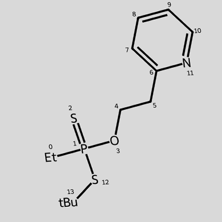 CCP(=S)(OCCc1ccccn1)SC(C)(C)C